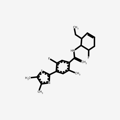 C=C(NC1C(F)CC=CC1CC)c1cc(F)c(-c2nc(C)c(C)s2)cc1C